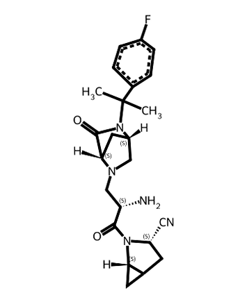 CC(C)(c1ccc(F)cc1)N1C(=O)[C@@H]2C[C@H]1CN2C[C@H](N)C(=O)N1[C@H](C#N)CC2C[C@@H]21